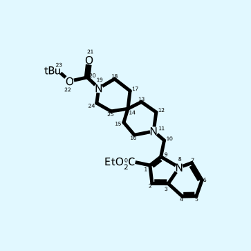 CCOC(=O)c1cc2ccccn2c1CN1CCC2(CC1)CCN(C(=O)OC(C)(C)C)CC2